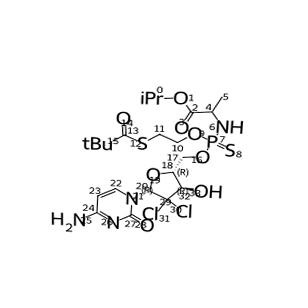 CC(C)OC(=O)C(C)NP(=S)(OCCSC(=O)C(C)(C)C)OC[C@H]1O[C@@H](n2ccc(N)nc2=O)C(Cl)(Cl)[C@@H]1O